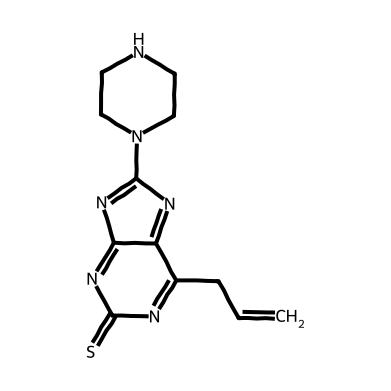 C=CCC1=NC(=S)N=C2N=C(N3CCNCC3)N=C12